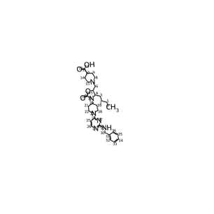 CCCCC1C(CN2CCC(C(=O)O)CC2)OC(=O)N1C1CCN(c2ccnc(NCc3ccccc3)n2)CC1